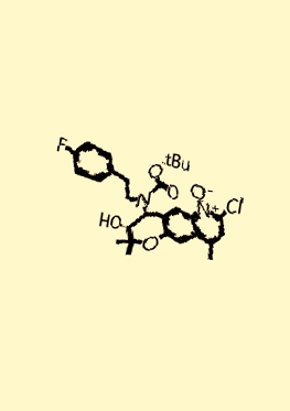 Cc1cc(Cl)[n+]([O-])c2cc3c(cc12)OC(C)(C)[C@H](O)[C@H]3N(CCc1ccc(F)cc1)C(=O)OC(C)(C)C